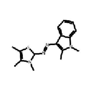 CC1=C(C)N(C)C(N=Nc2c(C)n(C)c3ccccc23)S1